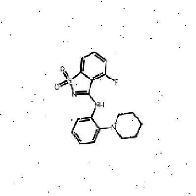 O=S1(=O)N=C(Nc2ccccc2N2CCCCC2)c2c(F)cccc21